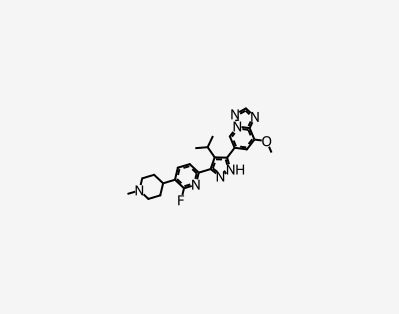 COc1cc(-c2[nH]nc(-c3ccc(C4CCN(C)CC4)c(F)n3)c2C(C)C)cn2ncnc12